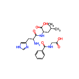 CC(C)CC(NC(=O)C(N)Cc1c[nH]cn1)C(=O)O.O=C(O)CNC(=O)c1ccccc1